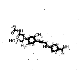 CCC(=O)NC(=O)CN(CC(=O)O)c1cc(C)c(C#CCNc2ccc(C(=N)N)cc2)cc1C